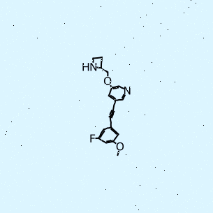 COc1cc(F)cc(C#Cc2cncc(OC[C@@H]3CCN3)c2)c1